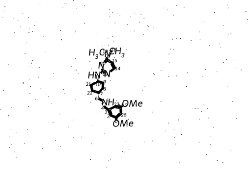 COc1cc(CNC[C@H]2CC[C@@H](Nc3nccc(N(C)C)n3)CC2)cc(OC)c1